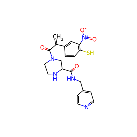 C=C(C(=O)N1CCNC(C(=O)NCc2ccncc2)C1)c1ccc(S)c([N+](=O)[O-])c1